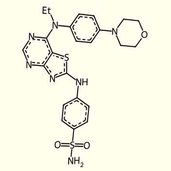 CCN(c1ccc(N2CCOCC2)cc1)c1ncnc2nc(Nc3ccc(S(N)(=O)=O)cc3)sc12